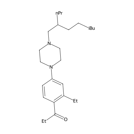 CCCC(CCC(C)CC)CN1CCN(c2ccc(C(=O)CC)c(CC)c2)CC1